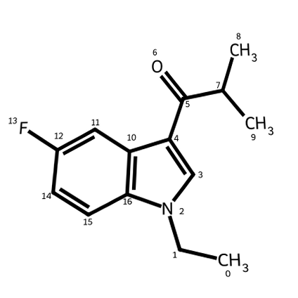 CCn1cc(C(=O)C(C)C)c2cc(F)ccc21